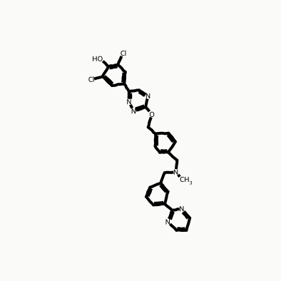 CN(Cc1ccc(COc2ncc(-c3cc(Cl)c(O)c(Cl)c3)nn2)cc1)Cc1cccc(-c2ncccn2)c1